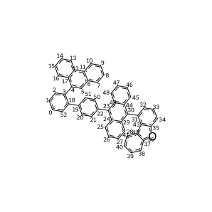 c1ccc(-c2cc3ccccc3c3ccccc23)c(-c2ccc(-c3c4ccccc4c(-c4cccc5oc6ccccc6c45)c4ccccc34)cc2)c1